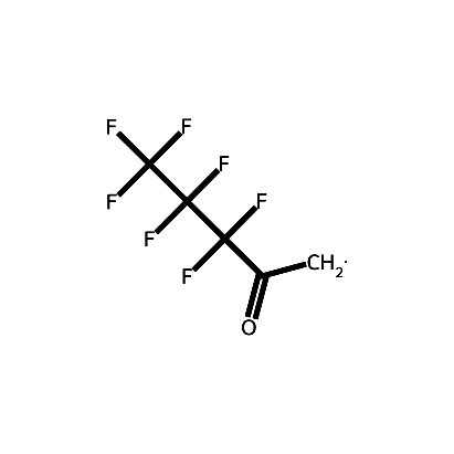 [CH2]C(=O)C(F)(F)C(F)(F)C(F)(F)F